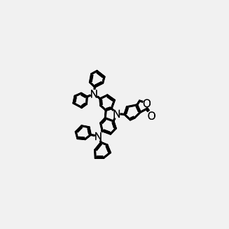 O=C1OCc2cc(-n3c4ccc(N(c5ccccc5)c5ccccc5)cc4c4cc(N(c5ccccc5)c5ccccc5)ccc43)ccc21